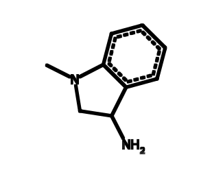 CN1CC(N)c2ccccc21